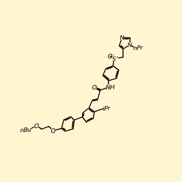 CCCCOCCOc1ccc(-c2ccc(C(C)C)c(/C=C/C(=O)Nc3ccc([S@@+]([O-])Cc4cncn4CCC)cc3)c2)cc1